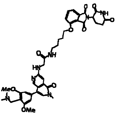 COc1cc(-c2cn(C)c(=O)c3cc(NCC(=O)NCCCCCOc4cccc5c4C(=O)N(C4CCC(=O)NC4=O)C5=O)ncc23)cc(OC)c1CN(C)C